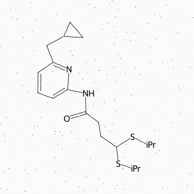 CC(C)SC(CCC(=O)Nc1cccc(CC2CC2)n1)SC(C)C